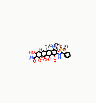 CCOP(=O)(OCC)C(Nc1cc(N(C)C)c2c(c1O)C(=O)C1=C(O)[C@]3(O)C(=O)C(C(N)=O)C(O)C[C@@H]3C[C@@H]1C2)c1ccccc1